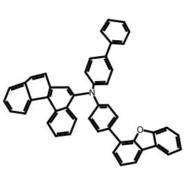 c1ccc(-c2ccc(N(c3ccc(-c4cccc5c4oc4ccccc45)cc3)c3cc4ccc5ccccc5c4c4ccccc34)cc2)cc1